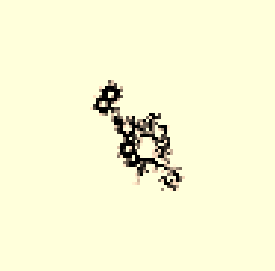 CCNCC.Cc1c2c(nn1C)C(CCN1CCOCC1)N(C)S(=O)(=O)CCCn1c(C(=O)O)c(CCCOc3cccc4ccccc34)c3cccc-2c31